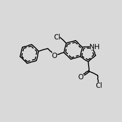 O=C(CCl)c1c[nH]c2cc(Cl)c(OCc3ccccc3)cc12